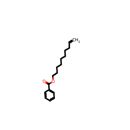 C=CCCCCCCCCOC(=O)c1ccccc1